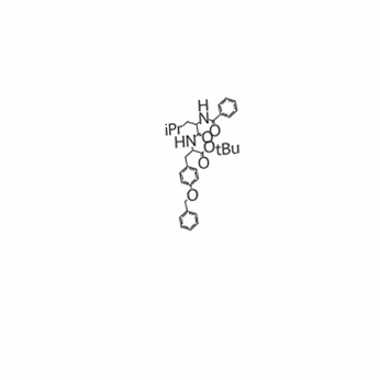 CC(C)CC(NC(=O)c1ccccc1)C(=O)NC(Cc1ccc(OCc2ccccc2)cc1)C(=O)OC(C)(C)C